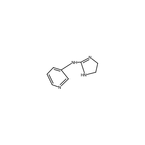 [c]1ncccc1NC1=NCCN1